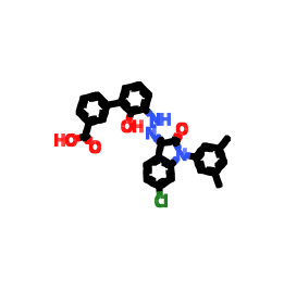 Cc1cc(C)cc(N2C(=O)C(=NNc3cccc(-c4cccc(C(=O)O)c4)c3O)c3ccc(Cl)cc32)c1